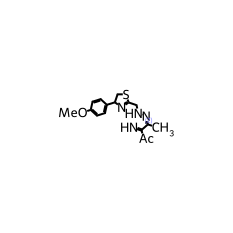 COc1ccc(C2CSC(CN/N=C(/C)C(=N)C(C)=O)=N2)cc1